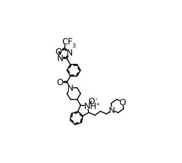 O=C(c1cccc(-c2noc(C(F)(F)F)n2)c1)N1CCC(C2c3ccccc3C(CCCN3CCOCC3)[NH+]2[O-])CC1